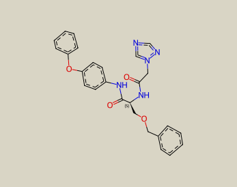 O=C(Cn1cncn1)N[C@@H](COCc1ccccc1)C(=O)Nc1ccc(Oc2ccccc2)cc1